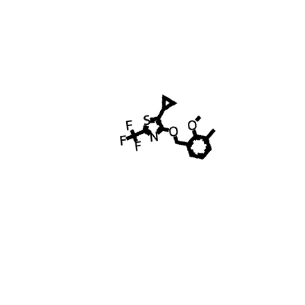 COc1c(C)cccc1COc1nc(C(F)(F)F)sc1C1CC1